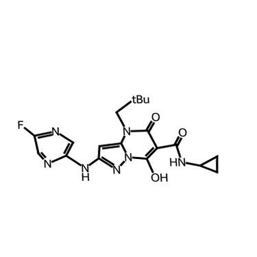 CC(C)(C)Cn1c(=O)c(C(=O)NC2CC2)c(O)n2nc(Nc3cnc(F)cn3)cc12